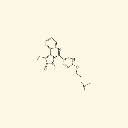 CC(C)c1c(=O)n(C)n2c(-c3ccc(OCCCN(C)C)nc3)nc3ccccc3c12